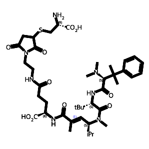 C/C(=C\[C@H](C(C)C)N(C)C(=O)[C@@H](NC(=O)[C@@H](N(C)C)C(C)(C)c1ccccc1)C(C)(C)C)C(=O)N[C@H](CCC(=O)NCCN1C(=O)CC(SC[C@H](N)C(=O)O)C1=O)C(=O)O